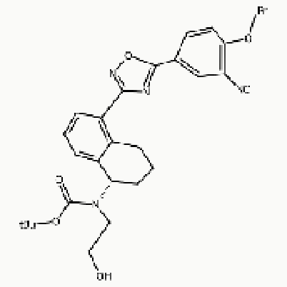 [C-]#[N+]c1cc(-c2nc(-c3cccc4c3CCC[C@@H]4N(CCO)C(=O)OC(C)(C)C)no2)ccc1OC(C)C